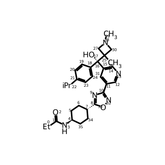 CCC(=O)N[C@H]1CC[C@H](c2nc(-c3cncc([C@@](O)(c4ccc(C(C)C)cc4)C4(C)CN(C)C4)c3)no2)CC1